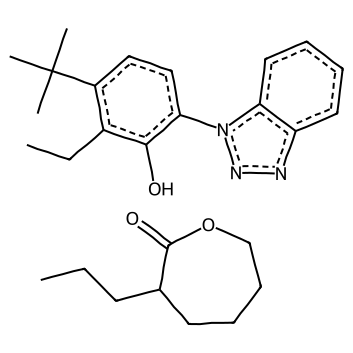 CCCC1CCCCOC1=O.CCc1c(C(C)(C)C)ccc(-n2nnc3ccccc32)c1O